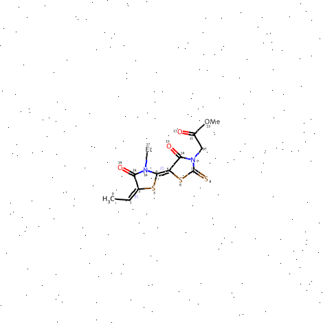 C/C=c1/s/c(=C2\SC(=S)N(CC(=O)OC)C2=O)n(CC)c1=O